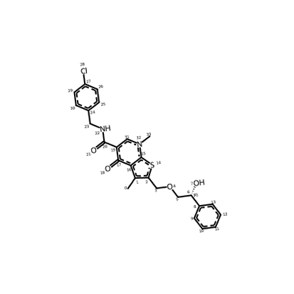 Cc1c(COC[C@H](O)c2ccccc2)sc2c1c(=O)c(C(=O)NCc1ccc(Cl)cc1)cn2C